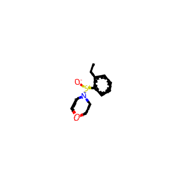 CCc1ccccc1[S+]([O-])N1CCOCC1